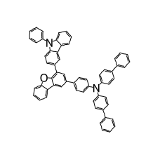 c1ccc(-c2ccc(N(c3ccc(-c4ccccc4)cc3)c3ccc(-c4cc(-c5ccc6c(c5)c5ccccc5n6-c5ccccc5)c5oc6ccccc6c5c4)cc3)cc2)cc1